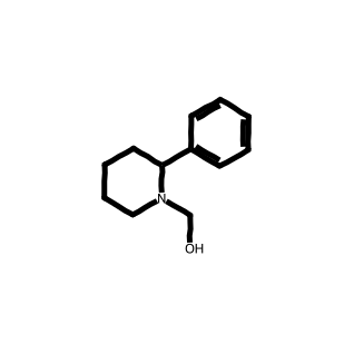 OCN1CCCCC1c1ccccc1